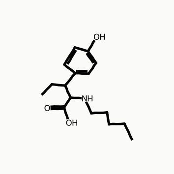 CCCCCNC(C(=O)O)C(CC)c1ccc(O)cc1